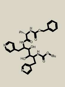 CC(C)[C@H](NC(=O)OCc1ccccc1)C(=O)NC(Cc1ccncc1)C(O)C(O)C(Cc1ccncc1)NC(=O)OC(C)(C)C